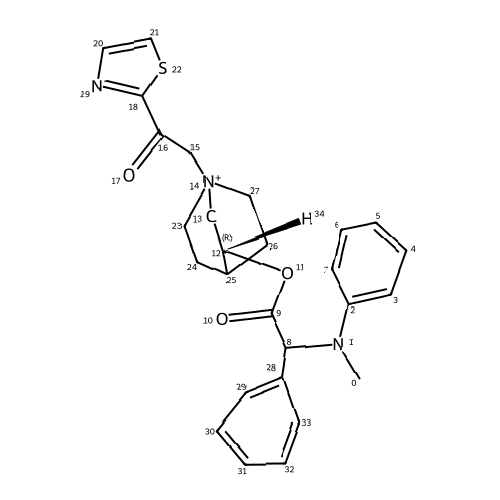 CN(c1ccccc1)C(C(=O)O[C@H]1C[N+]2(CC(=O)c3nccs3)CCC1CC2)c1ccccc1